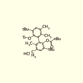 CCCCC(=O)Oc1c(C(C)(C)C)cc(C)c(C)c1-c1c(C)c(C)cc(C(C)(C)C)c1[O][Ti].Cl